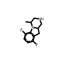 CC1CNCC2Cc3c(F)ccc(F)c3N12